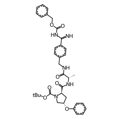 C[C@H](NC(=O)[C@H]1C[C@H](Oc2ccccc2)CN1C(=O)OC(C)(C)C)C(=O)NCc1ccc(C(=N)NC(=O)OCc2ccccc2)cc1